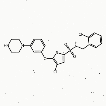 O=S(=O)(NCc1ccccc1Cl)c1cc(Cl)c(Oc2cccc(N3CCNCC3)c2)s1